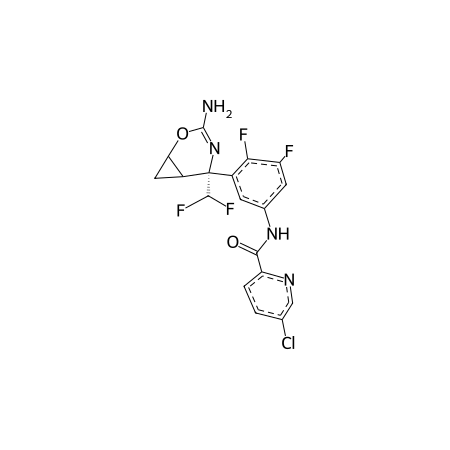 NC1=N[C@](c2cc(NC(=O)c3ccc(Cl)cn3)cc(F)c2F)(C(F)F)C2CC2O1